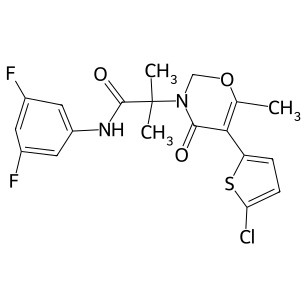 CC1=C(c2ccc(Cl)s2)C(=O)N(C(C)(C)C(=O)Nc2cc(F)cc(F)c2)CO1